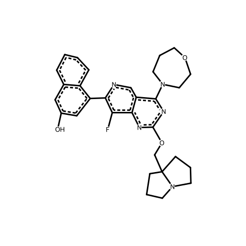 Oc1cc(-c2ncc3c(N4CCCOCC4)nc(OCC45CCCN4CCC5)nc3c2F)c2ccccc2c1